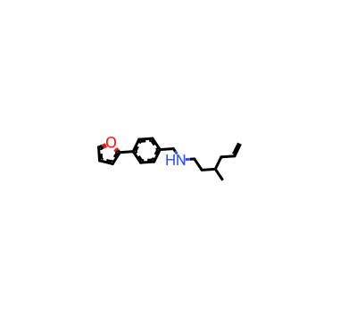 C=CCC(C)CCNCc1ccc(-c2ccco2)cc1